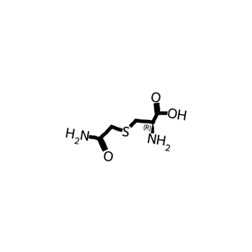 NC(=O)CSC[C@H](N)C(=O)O